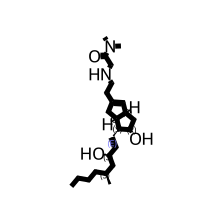 CCCC[C@H](C)C[C@H](O)/C=C/[C@@H]1[C@H]2CC(CCNCC(=O)N(C)C)=C[C@H]2C[C@H]1O